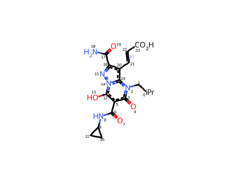 CC(C)Cn1c(=O)c(C(=O)NC2CC2)c(O)n2nc(C(N)=O)c(/C=C/C(=O)O)c12